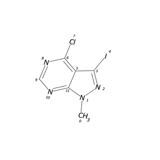 Cn1nc(I)c2c(Cl)ncnc21